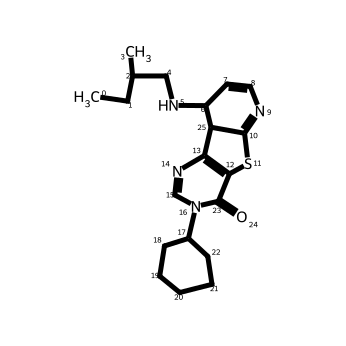 CCC(C)CNC1C=CN=C2Sc3c(ncn(C4CCCCC4)c3=O)C21